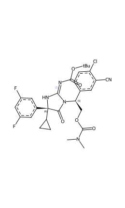 CN(C)C(=O)OC[C@H](c1ccc(Cl)c(C#N)c1)N1C(=O)[C@](c2cc(F)cc(F)c2)(C2CC2)N/C1=N/C(=O)OC(C)(C)C